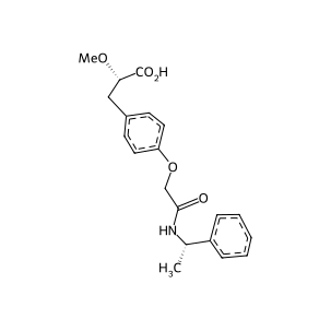 CO[C@@H](Cc1ccc(OCC(=O)N[C@@H](C)c2ccccc2)cc1)C(=O)O